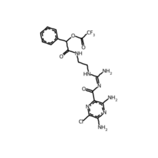 NC(=NC(=O)c1nc(Cl)c(N)nc1N)NCCNC(=O)C(OC(=O)C(F)(F)F)c1ccccc1